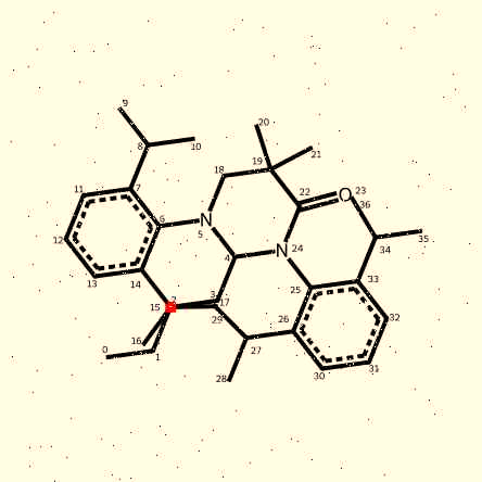 CCCCC1N(c2c(C(C)C)cccc2C(C)C)CC(C)(C)C(=O)N1c1c(C(C)C)cccc1C(C)C